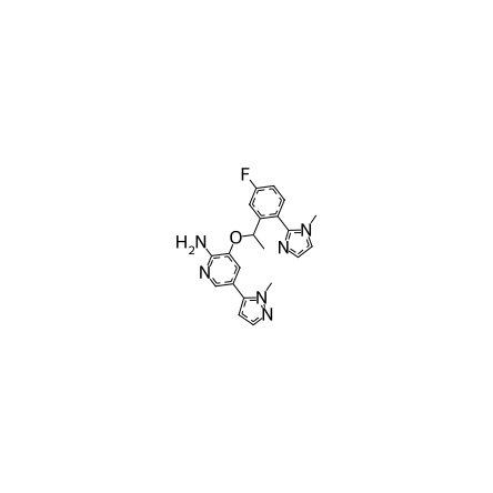 CC(Oc1cc(-c2ccnn2C)cnc1N)c1cc(F)ccc1-c1nccn1C